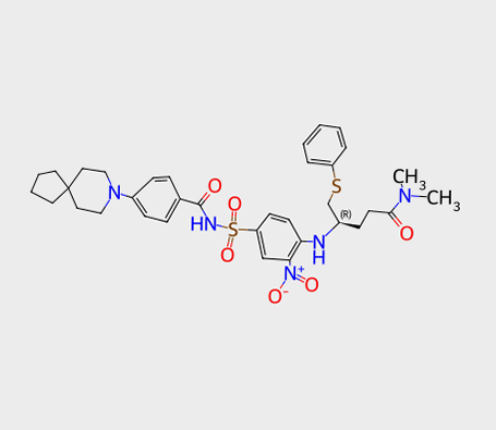 CN(C)C(=O)CC[C@H](CSc1ccccc1)Nc1ccc(S(=O)(=O)NC(=O)c2ccc(N3CCC4(CCCC4)CC3)cc2)cc1[N+](=O)[O-]